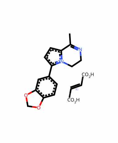 CC1=NCCn2c1ccc2-c1ccc2c(c1)OCO2.O=C(O)/C=C/C(=O)O